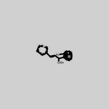 COC(C=Cc1ccccc1)[C]12[CH]3[CH]4[CH]5[CH]1[Fe]45321678[CH]2[CH]1[CH]6[C]7(C(C)=O)[CH]28